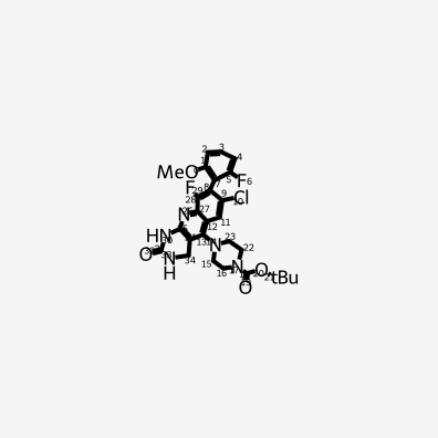 COc1cccc(F)c1-c1c(Cl)cc2c(N3CCN(C(=O)OC(C)(C)C)CC3)c3c(nc2c1F)NC(=O)NC3